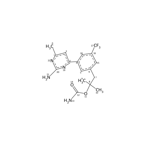 Cc1cc(-c2cc(CC(C)(C)OC(N)=O)cc(C(F)(F)F)c2)nc(N)n1